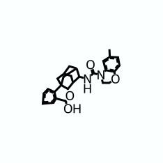 Cc1ccc2c(c1)N(C(=O)NC1C3CC4CC1CC(c1ccccc1C(=O)O)(C4)C3)CCO2